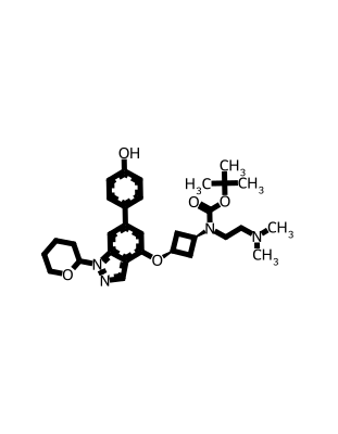 CN(C)CCN(C(=O)OC(C)(C)C)[C@H]1C[C@@H](Oc2cc(-c3ccc(O)cc3)cc3c2cnn3C2CCCCO2)C1